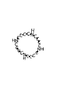 C1CCNCCCCNCCCCNCCCCNC1